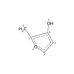 [CH2]c1occc1O